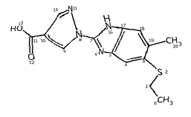 CCSc1cc2nc(-n3cc(C(=O)O)cn3)[nH]c2cc1C